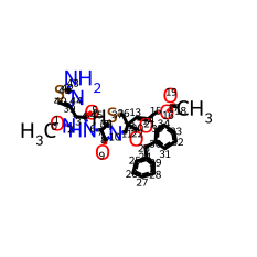 CON=C(C(=O)NC1C(=O)N2CC(C=CCOC(C)=O)(C(=O)OC(c3ccccc3)c3ccccc3)CS[C@H]12)c1csc(N)n1